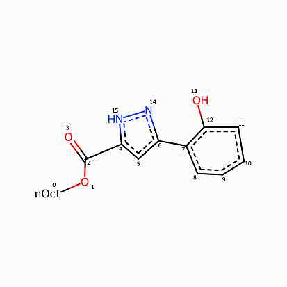 CCCCCCCCOC(=O)c1cc(-c2ccccc2O)n[nH]1